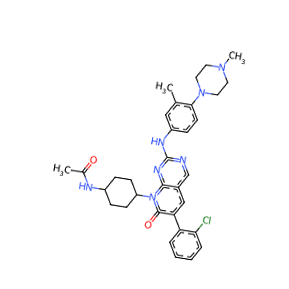 CC(=O)NC1CCC(n2c(=O)c(-c3ccccc3Cl)cc3cnc(Nc4ccc(N5CCN(C)CC5)c(C)c4)nc32)CC1